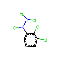 Clc1cccc(N(Cl)N(Cl)Cl)c1Cl